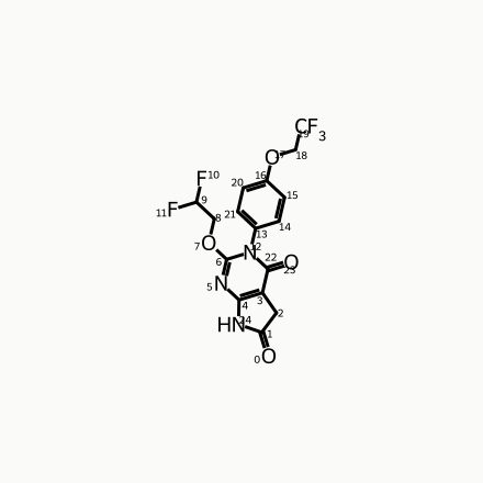 O=C1Cc2c(nc(OCC(F)F)n(-c3ccc(OCC(F)(F)F)cc3)c2=O)N1